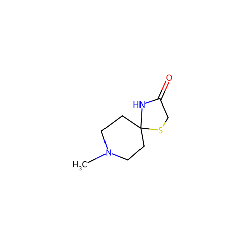 CN1CCC2(CC1)NC(=O)CS2